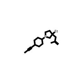 C=C(C)CC1(CC)CCN(C2CCC(C#CC)CC2)C1